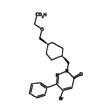 O=C(O)COC[C@H]1CC[C@@H](Cn2nc(-c3ccccc3)c(Br)cc2=O)CC1